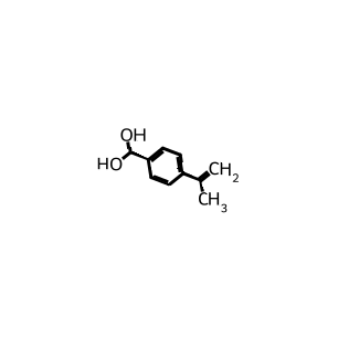 C=C(C)c1ccc(C(O)O)cc1